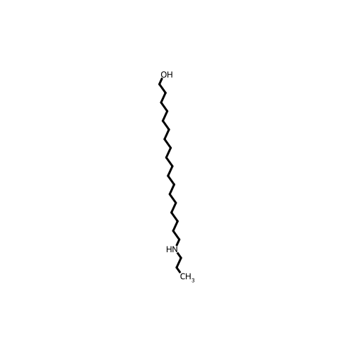 CCCNCCCCCCCCCCCCCCCCCCO